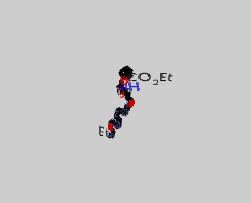 CC/C=C\C/C=C\C/C=C\C/C=C\C/C=C\C/C=C\CCC(=O)NC(COc1ccccc1C(=O)OCC)CC(C)C